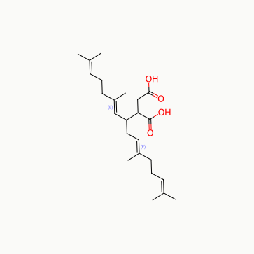 CC(C)=CCC/C(C)=C/CC(/C=C(\C)CCC=C(C)C)C(CC(=O)O)C(=O)O